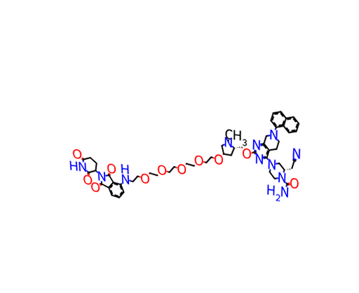 CN1C[C@H](OCCOCCOCCOCCOCCNc2cccc3c2C(=O)N(C2CCC(=O)NC2=O)C3=O)C[C@H]1COc1nc2c(c(N3CCN(C(N)=O)[C@@H](CC#N)C3)n1)CCN(c1cccc3ccccc13)C2